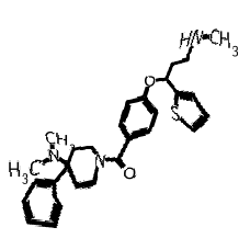 CNCCC(Oc1ccc(C(=O)N2CCC(c3ccccc3)(N(C)C)CC2)cc1)c1cccs1